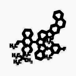 C=CC1=[N+](CC[Si](C)(C)C)C(C=C)C(C2c3ccc4c(oc5cc6ccc7ccccc7c6cc54)c3-c3n(-c4c(C)cc(F)cc4C)c4ccccc4[n+]32)c2ccccc21